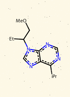 CCC(COC)n1cnc2c(C(C)C)ncnc21